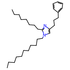 CCCCCCCCCCCn1cc(CCCc2ccccc2)nc1CCCCCCCC